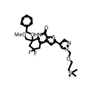 COCC1(OCc2ccccc2)CC(F)(F)Cc2c1[nH]c(=O)c1sc(-c3cnn(COCC[Si](C)(C)C)c3)cc21